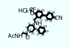 CC(=O)NCC(=O)N1CC[C@H](NCc2cc(-c3ccc(C#N)cc3)ccc2OC(F)(F)F)[C@H](c2ccccc2)C1.Cl